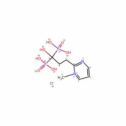 C[n+]1cccnc1CCC(O)(P(=O)(O)O)P(=O)(O)O.[Cl-]